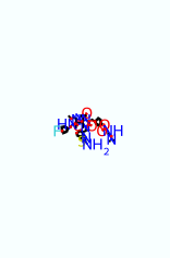 CCCN(C(=O)NCc1ccc(F)cc1)N1CC(=O)N2[C@@H](Cc3ccc(OC(=O)NCCN(C)C)cc3)C(=O)N(Cc3cccc4sc(N)nc34)C[C@@H]21